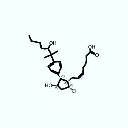 CCCCC(O)C(C)(C)c1ccc([C@@H]2[C@@H](C/C=C\CCCC(=O)O)[C@H](Cl)C[C@H]2O)cc1